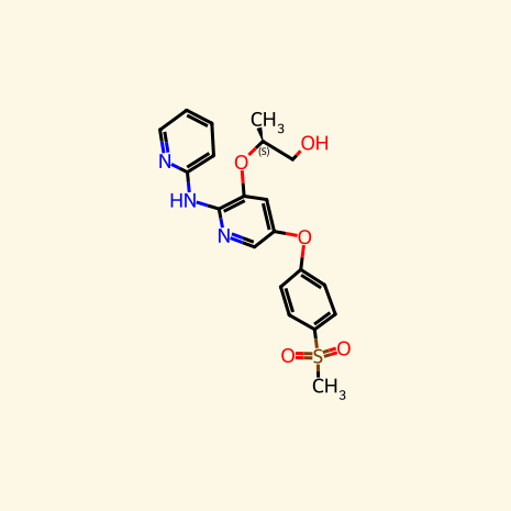 C[C@@H](CO)Oc1cc(Oc2ccc(S(C)(=O)=O)cc2)cnc1Nc1ccccn1